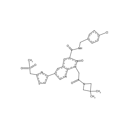 CC1(C)CN(C(=O)Cn2c(=O)c(C(=O)NCc3ccc(Cl)cc3)cc3cc(-c4csc(CS(C)(=O)=O)n4)cnc32)C1